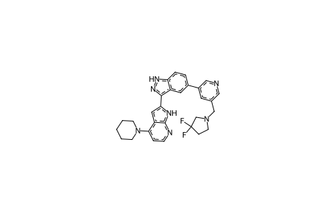 FC1(F)CCN(Cc2cncc(-c3ccc4[nH]nc(-c5cc6c(N7CCCCC7)ccnc6[nH]5)c4c3)c2)C1